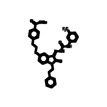 COC(=O)c1ccc(CCSc2ccc3c(c2)C(=NNC(=O)Nc2cccc(C(F)(F)F)c2)C(=O)N3CCc2ccccc2)cc1